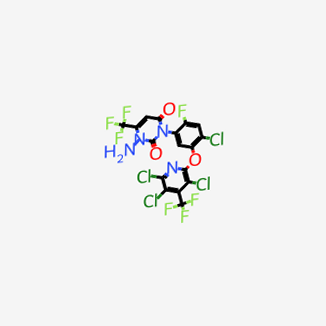 Nn1c(C(F)(F)F)cc(=O)n(-c2cc(Oc3nc(Cl)c(Cl)c(C(F)(F)F)c3Cl)c(Cl)cc2F)c1=O